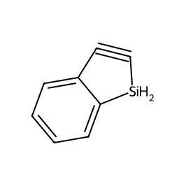 C1#Cc2ccccc2[SiH2]1